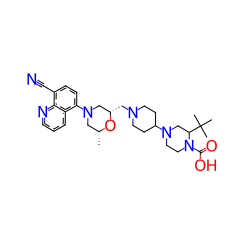 C[C@@H]1CN(c2ccc(C#N)c3ncccc23)C[C@H](CN2CCC(N3CCN(C(=O)O)C(C(C)(C)C)C3)CC2)O1